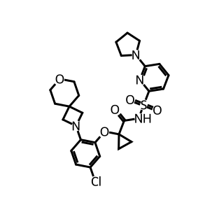 O=C(NS(=O)(=O)c1cccc(N2CCCC2)n1)C1(Oc2cc(Cl)ccc2N2CC3(CCOCC3)C2)CC1